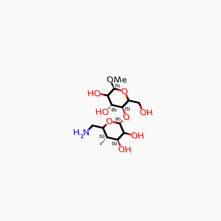 CO[C@H]1OC(CO)[C@@H](O[C@H]2OC(CN)[C@@H](C)[C@H](O)C2O)[C@H](O)C1O